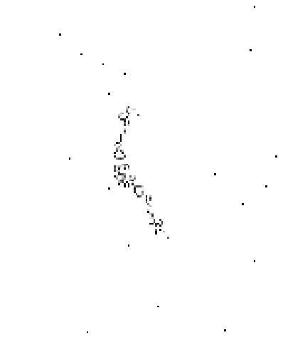 C=CC(=O)OCCCCOc1ccc(C(=O)Oc2nnc(OC(=O)c3ccc(OCCCCOC(=O)C=C)cc3)s2)cc1